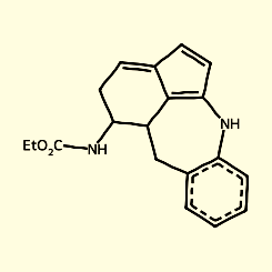 CCOC(=O)NC1CC=C2C=CC3=C2C1Cc1ccccc1N3